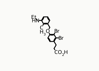 CCNc1cccc(COc2ccc(CCC(=O)O)c(Br)c2Br)c1C